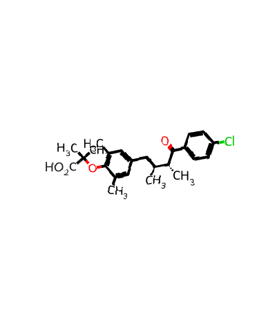 Cc1cc(C[C@H](C)[C@@H](C)C(=O)c2ccc(Cl)cc2)cc(C)c1OC(C)(C)C(=O)O